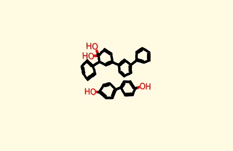 OC1(O)C=CC(c2cccc(-c3ccccc3)c2)=CC1c1ccccc1.Oc1ccc(-c2ccc(O)cc2)cc1